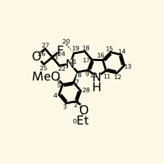 [CH2]COc1ccc(OC)c([C@@H]2c3[nH]c4ccccc4c3C[C@@H](C)N2CC2(F)COC2)c1